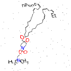 CC/C=C\C/C=C\C/C=C\CCCCCCCCC1(CCCCCCCC/C=C\C/C=C\CCCCC)OCC2(CCN(C(=O)OCCN(C)C)CC2)O1